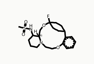 CS(=O)(=O)NC1CCCN2CCOc3ccccc3C3CCC(F)(CC3)OC[C@@H]12